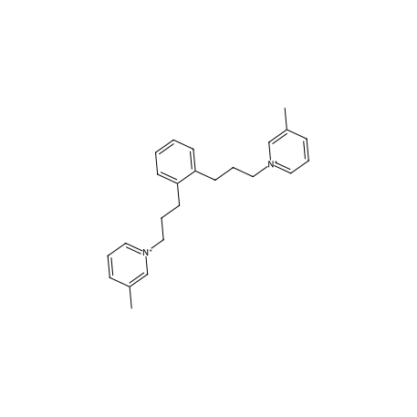 Cc1ccc[n+](CCCc2ccccc2CCC[n+]2cccc(C)c2)c1